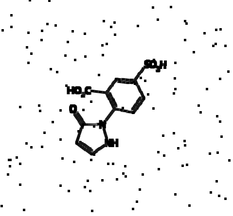 O=C(O)c1cc(S(=O)(=O)O)ccc1-n1[nH]ccc1=O